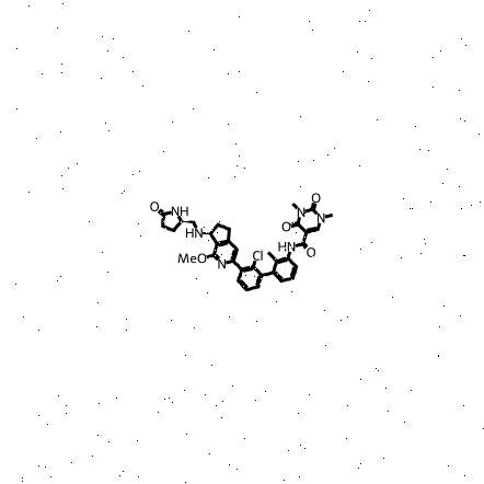 COc1nc(-c2cccc(-c3cccc(NC(=O)c4cn(C)c(=O)n(C)c4=O)c3C)c2Cl)cc2c1[C@@H](NC[C@H]1CCC(=O)N1)CC2